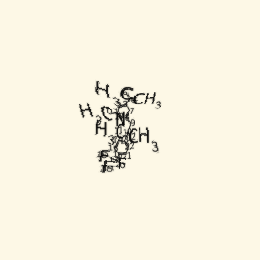 Cc1cc(C(C)C)cc(CC(C)(C)c2ccc(C(F)(F)F)cc2)n1